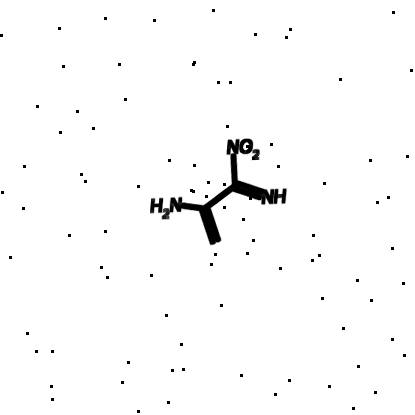 C=C(N)C(=N)[N+](=O)[O-]